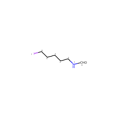 O=CNCCCCCI